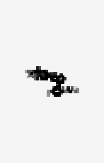 COc1ccc(F)cc1-c1ccnc2[nH]c(C3=CCN(S(=O)(=O)CCl)CC3)cc12